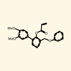 C=CC(=O)Oc1c(COc2ccccc2)cccc1-c1ccc(OC)c(OC)c1